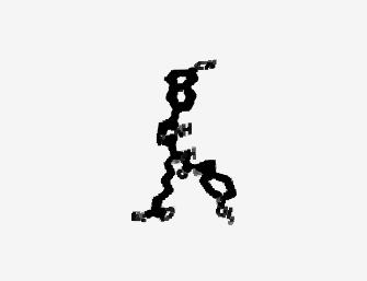 CCC(=O)CCCCC[C@H](NC(=O)[C@H]1CC12CCN(C)CC2)c1ncc(-c2ccc3cc(C#N)ccc3c2)[nH]1